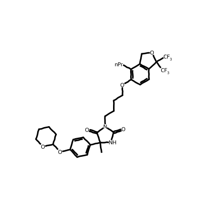 CCCc1c(OCCCCN2C(=O)NC(C)(c3ccc(OC4CCCCO4)cc3)C2=O)ccc2c1COC2(C(F)(F)F)C(F)(F)F